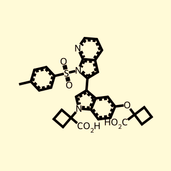 Cc1ccc(S(=O)(=O)n2c(-c3cn(C4(C(=O)O)CCC4)c4ccc(OC5(C(=O)O)CCC5)cc34)cc3cccnc32)cc1